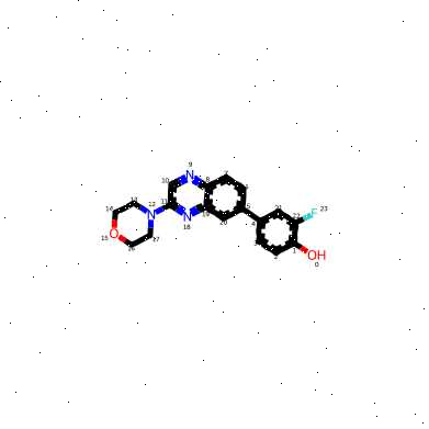 Oc1ccc(-c2ccc3ncc(N4CCOCC4)nc3c2)cc1F